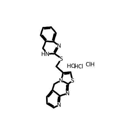 C1=C(CSC2=Nc3ccccc3CN2)N2Cc3cccnc3N=C2S1.Cl.Cl.Cl